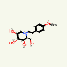 CCCCOc1ccc(CCN2C[C@H](O)[C@@H](O)[C@H](O)[C@@H]2CO)cc1